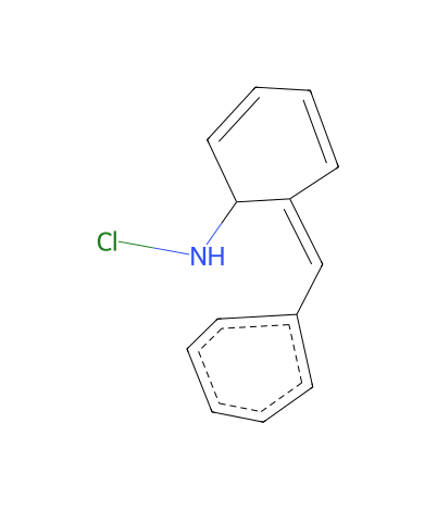 ClNC1C=CC=CC1=Cc1ccccc1